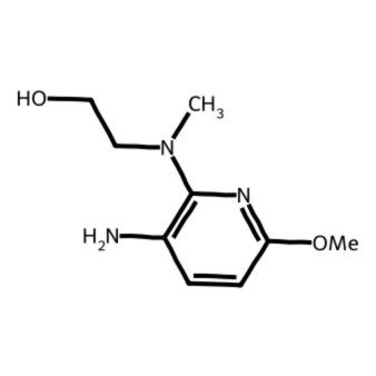 COc1ccc(N)c(N(C)CCO)n1